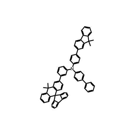 CC1(C)c2ccccc2-c2ccc(-c3ccc(N(c4ccc(-c5ccccc5)cc4)c4cccc(-c5ccc6c(c5)C(C)(C)c5ccccc5C65c6ccccc6-c6ccccc65)c4)cc3)cc21